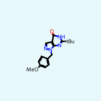 COc1ccc(Cn2ncc3c(=O)[nH]c(C(C)(C)C)nc32)cc1